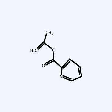 C=C(C)OC(=O)c1ccccn1